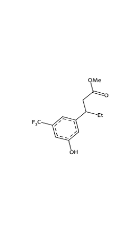 CCC(CC(=O)OC)c1cc(O)cc(C(F)(F)F)c1